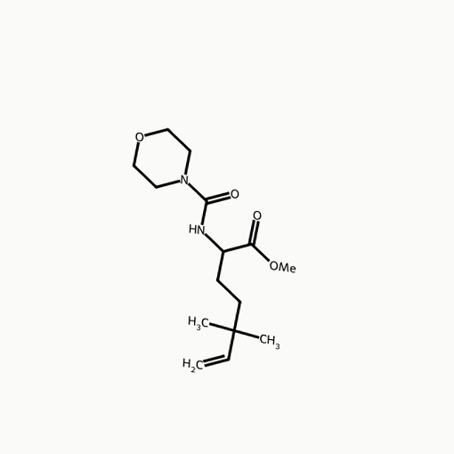 C=CC(C)(C)CCC(NC(=O)N1CCOCC1)C(=O)OC